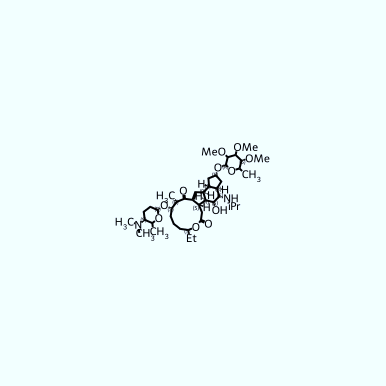 CC[C@H]1CCC[C@H](O[C@H]2CC[C@H](N(C)C)C(C)O2)[C@@H](C)C(=O)C2=C[C@H]3[C@@H]4C[C@H](O[C@@H]5OC(C)[C@H](OC)C(OC)C5OC)C[C@H]4[C@H](NC(C)C)[C@@H](O)[C@H]3[C@@H]2CC(=O)O1